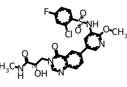 CNC(=O)[C@@H](O)Cn1cnc2ccc(-c3cnc(OC)c(NS(=O)(=O)c4ccc(F)cc4Cl)c3)cc2c1=O